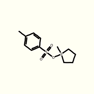 Cc1ccc(S(=O)(=O)OS2(C)CCCC2)cc1